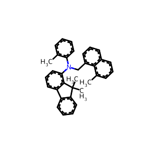 Cc1ccccc1N(Cc1cccc2cccc(C)c12)c1cccc2c1C(C)(C)c1ccccc1-2